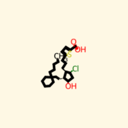 CCCCCC1(CC[C@@H]2[C@@H](CCCc3ccc(C(=O)O)s3)[C@@H](Cl)C[C@H]2O)CCCCC1